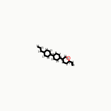 C=CC1CCC(C2CCC(C3CCC(CCC)CC3)CC2)CO1